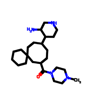 CN1CCN(C(=O)C2CCC(C3CCNCC3N)CCC3(CCCCC3)C2)CC1